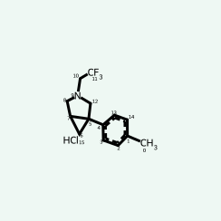 Cc1ccc(C23CC2CN(CC(F)(F)F)C3)cc1.Cl